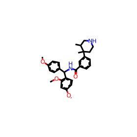 COc1ccc(C(NC(=O)c2cccc(C3(C)CCNCC3C)c2)c2ccc(OC)cc2OC)cc1